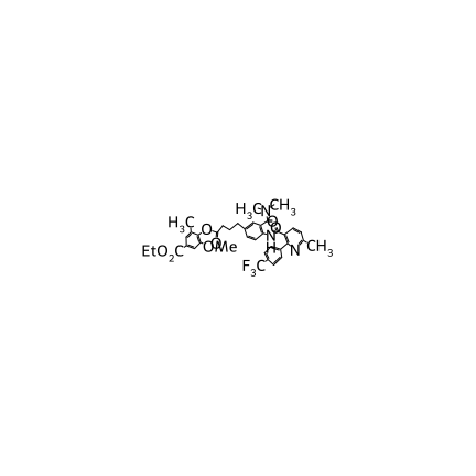 CCOC(=O)c1cc(C)c(OC(=O)CCCc2ccc(NC(=O)c3ccc(C)nc3-c3ccc(C(F)(F)F)cc3)c(C(=O)N(C)C)c2)c(OC)c1